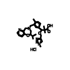 Cc1ccc(C(OCc2cn(C)nn2)C(C)(C)C(=O)O)cc1CN1Cc2ncccc2O[C@H](C(C)C)C1.Cl